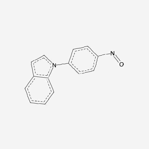 O=Nc1ccc(-n2ccc3ccccc32)cc1